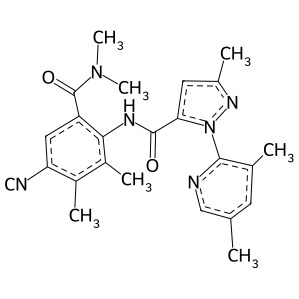 [C-]#[N+]c1cc(C(=O)N(C)C)c(NC(=O)c2cc(C)nn2-c2ncc(C)cc2C)c(C)c1C